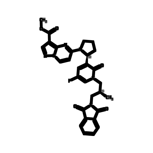 COC(=O)c1cnn2ccc(N3CCC[C@@H]3c3cc(F)cn(C[C@@H](C)CN4C(=O)c5ccccc5C4=O)c3=O)nc12